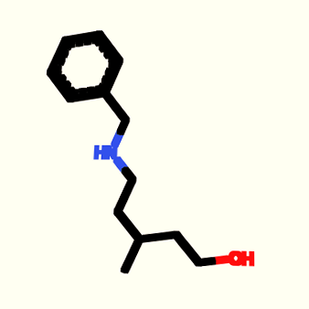 CC(CCO)CCNCc1ccccc1